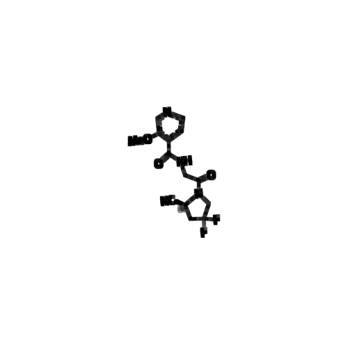 COc1cnccc1C(=O)NCC(=O)N1CC(F)(F)C[C@H]1C#N